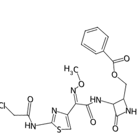 CON=C(C(=O)NC1C(=O)NC1COC(=O)c1ccccc1)c1csc(NC(=O)CCl)n1